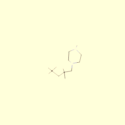 CCC(C)(C)CC(C)(C)CN1CCN(C)CC1